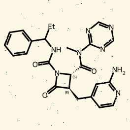 CCC(NC(=O)N1C(=O)[C@H](Cc2ccnc(N)c2)[C@H]1C(=O)N(C)c1ncncn1)c1ccccc1